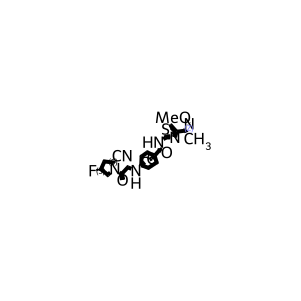 CO/N=C(/C)c1csc(NC(=O)C23CCC(NCC(=O)N4C[C@@H](F)C[C@H]4C#N)(CC2)CC3)n1